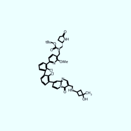 COc1nc(-c2cccc(-c3cccc(-c4ccn5c(=O)c(CNC6CC(C)(O)C6)cnc5c4)c3Cl)c2Cl)ccc1CN(C[C@@H]1CCC(=O)N1)C(=O)OC(C)(C)C